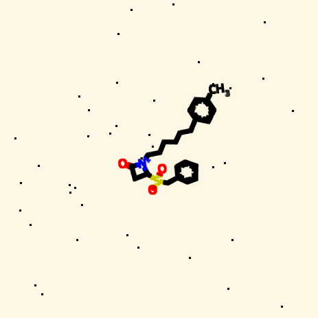 Cc1ccc(CCCCCC[N+]2C(=O)CC2S(=O)(=O)Cc2ccccc2)cc1